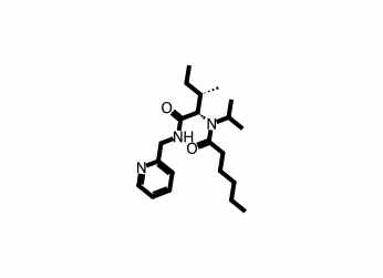 CCCCCC(=O)N(C(C)C)[C@H](C(=O)NCc1ccccn1)[C@@H](C)CC